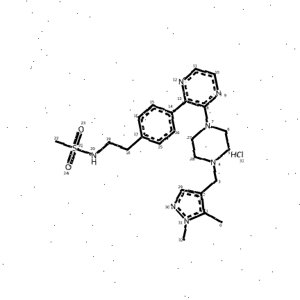 Cc1c(CN2CCN(c3nccnc3-c3ccc(CCNS(C)(=O)=O)cc3)CC2)cnn1C.Cl